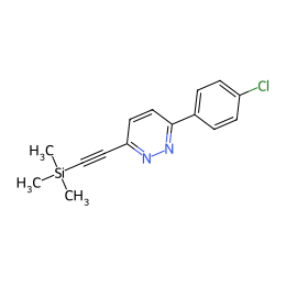 C[Si](C)(C)C#Cc1ccc(-c2ccc(Cl)cc2)nn1